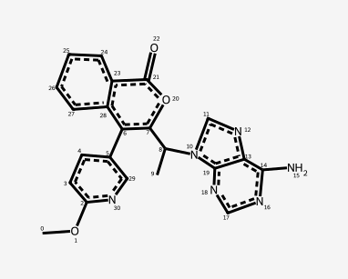 COc1ccc(-c2c(C(C)n3cnc4c(N)ncnc43)oc(=O)c3ccccc23)cn1